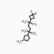 CN1CCC(C(C)(C)CCC(C)(C)C2CC(F)(F)C2)C1